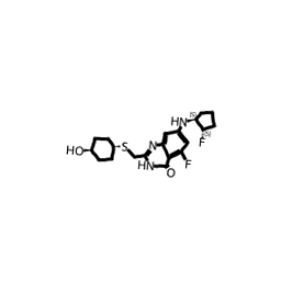 O=c1[nH]c(CS[C@H]2CC[C@H](O)CC2)nc2cc(N[C@H]3CCC[C@@H]3F)cc(F)c12